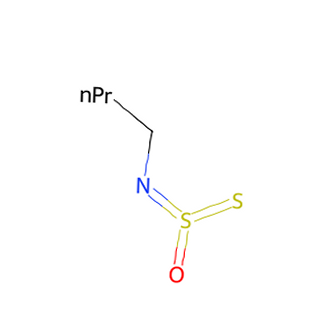 CCCCN=S(=O)=S